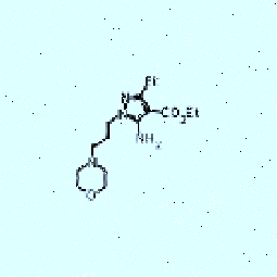 CCOC(=O)c1c(CC)nn(CCCN2CCOCC2)c1N